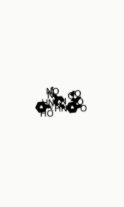 O=C1OC2(COCOC2)c2cc(Nc3ncc(-c4nnco4)c(N[C@H](CO)c4ccccc4)n3)ccc21